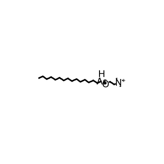 CCCCCCCCCCCCCCC[AsH]OCC[N+](C)(C)C